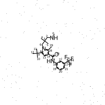 CNCC(C)(C)Cn1c(C(C)(C)C)cc(C(=O)Nc2cccc(C(F)(F)F)c2)c1C